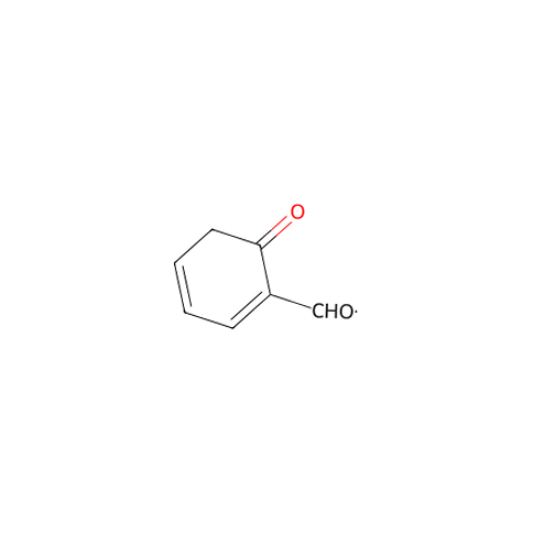 O=[C]C1=CC=CCC1=O